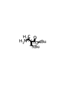 CC(N)C(=CC(C)(C)C)C(=O)OC(C)(C)C